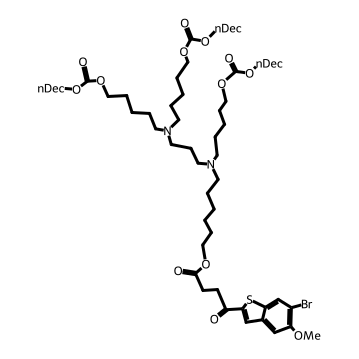 CCCCCCCCCCOC(=O)OCCCCCN(CCCCCCOC(=O)CCC(=O)c1cc2cc(OC)c(Br)cc2s1)CCCN(CCCCCOC(=O)OCCCCCCCCCC)CCCCCOC(=O)OCCCCCCCCCC